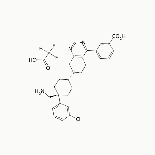 NC[C@]1(c2cccc(Cl)c2)CC[C@@H](N2CCc3c(ncnc3-c3cccc(C(=O)O)c3)C2)CC1.O=C(O)C(F)(F)F